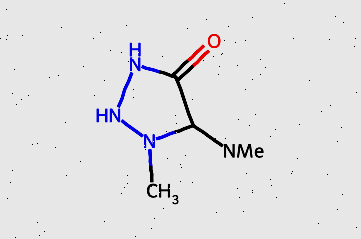 CNC1C(=O)NNN1C